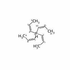 C/C=C\[PH](/C=C\C)(/C=C\C)/C=C\C